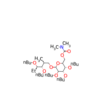 CCCCOC1[C@@H](OC[C@H](C)[C@H](OCCCC)[C@@H](CC)OCCCC)OC(COC(=O)N(C)C)[C@H](OCCCC)[C@@H]1OCCCC